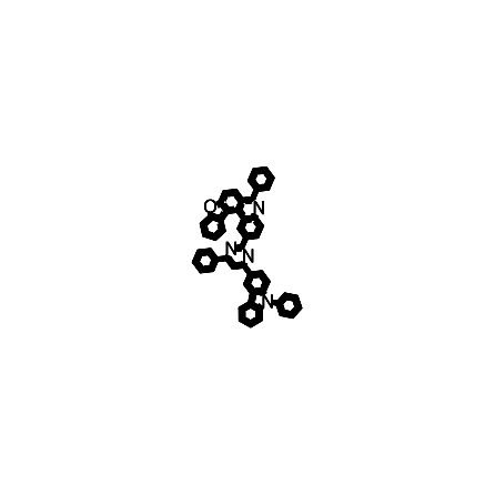 c1ccc(-c2cc(-c3ccc4c(c3)c3ccccc3n4-c3ccccc3)nc(-c3ccc4nc(-c5ccccc5)c5ccc6oc7ccccc7c6c5c4c3)n2)cc1